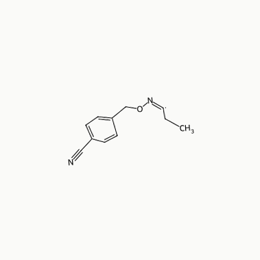 CC/[C]=N\OCc1ccc(C#N)cc1